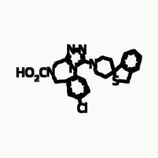 O=C(O)N1Cc2cc(Cl)ccc2-n2c(nnc2N2CCC3(CC2)SCc2ccccc23)C1